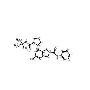 CC(C)(C)OC(=O)N1CCC[C@H]1c1cc(Cl)cc2c1CN(C(=O)Nc1cccnc1)C2